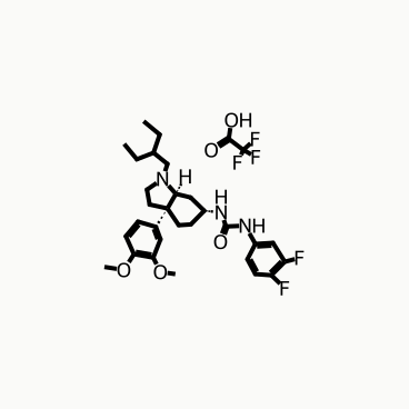 CCC(CC)CN1CC[C@]2(c3ccc(OC)c(OC)c3)CC[C@@H](NC(=O)Nc3ccc(F)c(F)c3)C[C@H]12.O=C(O)C(F)(F)F